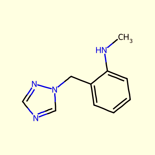 CNc1ccccc1Cn1cncn1